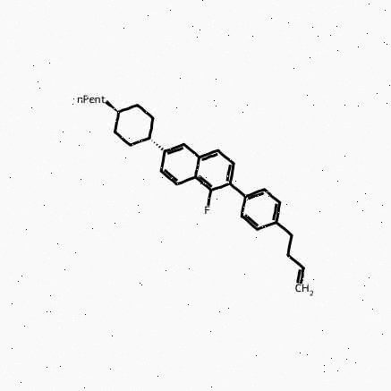 C=CCCc1ccc(-c2ccc3cc([C@H]4CC[C@H](CCCCC)CC4)ccc3c2F)cc1